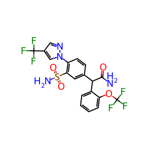 NC(=O)C(c1ccc(-n2cc(C(F)(F)F)cn2)c(S(N)(=O)=O)c1)c1ccccc1OC(F)(F)F